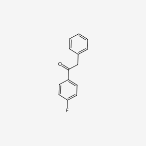 O=C(Cc1ccccc1)c1ccc(F)cc1